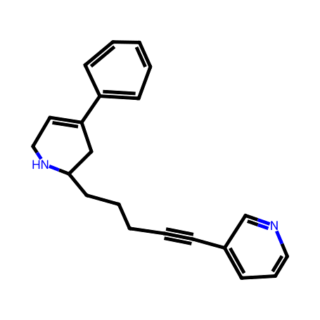 C(#Cc1cccnc1)CCCC1CC(c2ccccc2)=CCN1